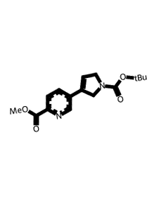 COC(=O)c1ccc(C2=CCN(C(=O)OC(C)(C)C)C2)cn1